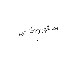 C=C1CC[C@H](OC(=O)NCCCO)C/C1=C/C=C1\CCC[C@]2(C)C(CCCC(C)(C)O)CC[C@@H]12